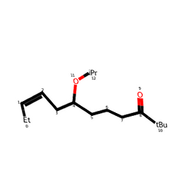 CC/C=C\CC(CCCC(=O)C(C)(C)C)OC(C)C